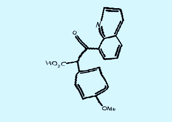 COc1ccc(C(C(=O)O)C(=O)c2cccc3cccnc23)cc1